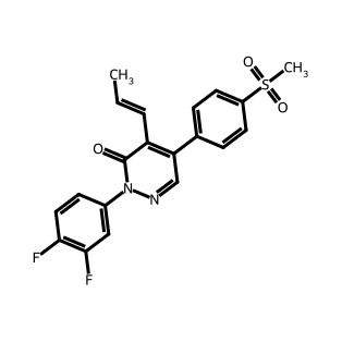 CC=Cc1c(-c2ccc(S(C)(=O)=O)cc2)cnn(-c2ccc(F)c(F)c2)c1=O